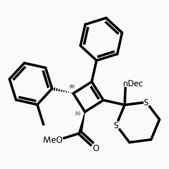 CCCCCCCCCCC1(C2=C(c3ccccc3)[C@@H](c3ccccc3C)[C@@H]2C(=O)OC)SCCCS1